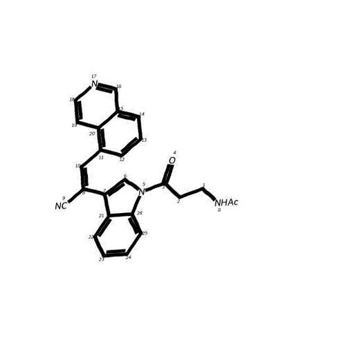 CC(=O)NCCC(=O)n1cc(C(C#N)=Cc2cccc3cnccc23)c2ccccc21